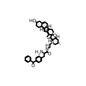 CC1=C2C[C@H]3[C@@H](CC=C4C[C@@H](O)CC[C@@]43C)[C@@H]2CC[C@]12O[C@@H]1C[C@H](C)CN(CCNC(=O)[C@@H](N)Cc3ccc(C(=O)c4ccccc4)cc3)[C@H]1[C@H]2C